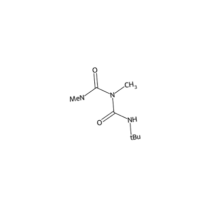 CNC(=O)N(C)C(=O)NC(C)(C)C